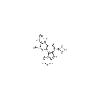 COc1c(F)cc(-c2c(C(=O)N3CCC3)nn3c2OCCC3)cc1F